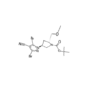 COC[C@H]1C[C@H](n2nc(Br)c(C#N)c2Br)CN1C(=O)OC(C)(C)C